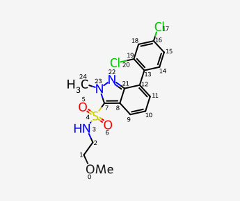 COCCNS(=O)(=O)c1c2cccc(-c3ccc(Cl)cc3Cl)c2nn1C